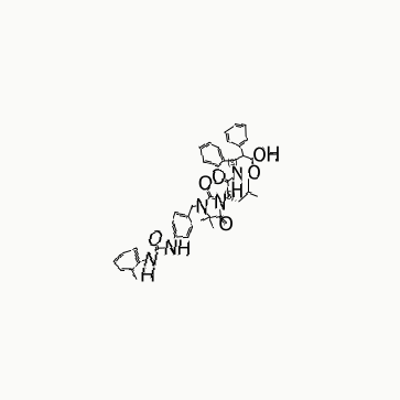 Cc1ccccc1NC(=O)Nc1ccc(CN2C(=O)N([C@@H](CC(C)C)C(=O)N[C@H](c3ccccc3)C(C(=O)O)c3ccccc3)C(=O)C2(C)C)cc1